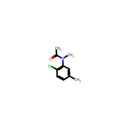 CC(=O)N(C)c1cc(C)ccc1Cl